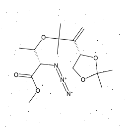 C=C([C@H]1COC(C)(C)O1)C(C)(C)OC(C)[C@H](N=[N+]=[N-])C(=O)OC